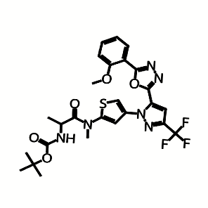 COc1ccccc1-c1nnc(-c2cc(C(F)(F)F)nn2-c2csc(N(C)C(=O)C(C)NC(=O)OC(C)(C)C)c2)o1